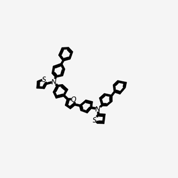 c1ccc(-c2ccc(N(c3ccc(-c4ccc(-c5ccc(N(c6ccc(-c7ccccc7)cc6)c6cccs6)cc5)o4)cc3)c3cccs3)cc2)cc1